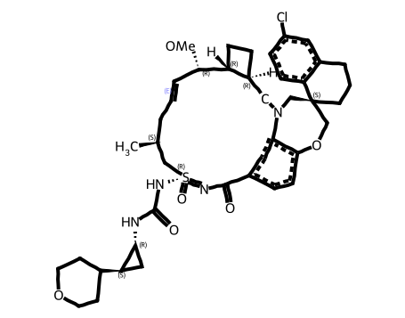 CO[C@H]1/C=C/C[C@H](C)C[S@@](=O)(NC(=O)N[C@@H]2C[C@H]2C2CCOCC2)=NC(=O)c2ccc3c(c2)N(C[C@@H]2CC[C@H]21)C[C@@]1(CCCc2cc(Cl)ccc21)CO3